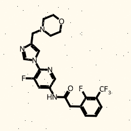 O=C(Cc1cccc(C(F)(F)F)c1F)Nc1cnc(-n2cnc(CN3CCOCC3)c2)c(F)c1